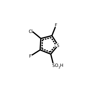 O=S(=O)(O)c1sc(F)c(Cl)c1F